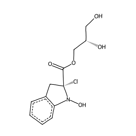 O=C(OC[C@@H](O)CO)[C@]1(Cl)Cc2ccccc2N1O